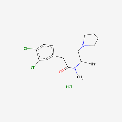 CC(C)C(CN1CCCC1)N(C)C(=O)Cc1ccc(Cl)c(Cl)c1.Cl